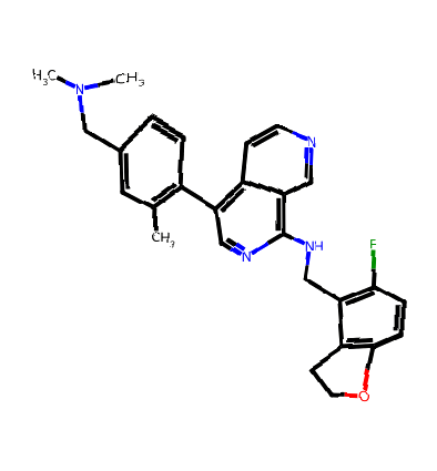 Cc1cc(CN(C)C)ccc1-c1cnc(NCc2c(F)ccc3c2CCO3)c2cnccc12